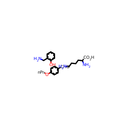 CCCOc1ccc(C=O)cc1.NCCCCC(N)C(=O)O.NCc1ccccc1O